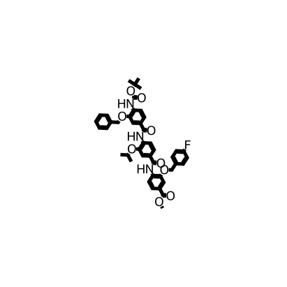 COC(=O)c1ccc(NC(=O)c2ccc(NC(=O)c3ccc(NC(=O)OC(C)(C)C)c(OCc4ccccc4)c3)c(OC(C)C)c2)c(OCc2ccc(F)cc2)c1